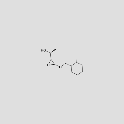 CC1CCCCC1COC1OC1[C@H](C)O